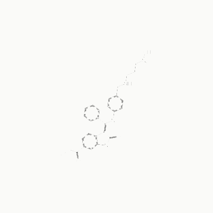 COC(=O)c1ccc2c(c1)NC(=O)/C2=C(\Nc1ccc(CNCCCN(C)C)cc1)c1ccccc1